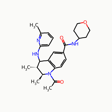 CC(=O)N1c2ccc(C(=O)NC3CCOCC3)cc2C(Nc2cccc(C)n2)[C@@H](C)[C@@H]1C